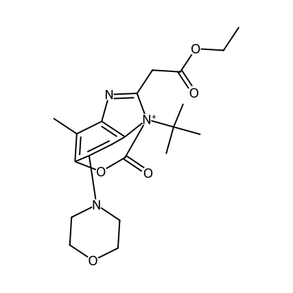 CCOC(=O)CC1=Nc2c3cc(N4CCOCC4)c(c2C)OC(=O)[N+]13C(C)(C)C